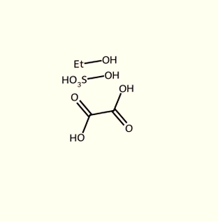 CCO.O=C(O)C(=O)O.O=S(=O)(O)O